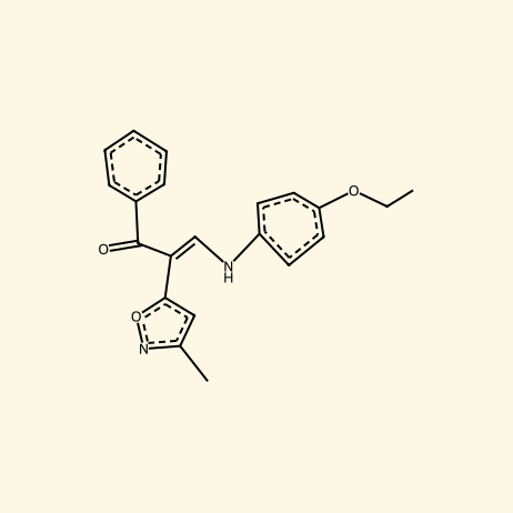 CCOc1ccc(N/C=C(/C(=O)c2ccccc2)c2cc(C)no2)cc1